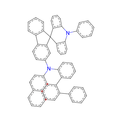 c1ccc(-c2ccccc2-c2ccccc2N(c2ccc3c(c2)C2(c4ccccc4-3)c3ccccc3N(c3ccccc3)c3ccccc32)c2ccc3ccccc3c2)cc1